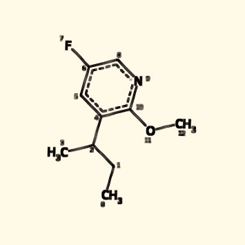 CCC(C)c1cc(F)cnc1OC